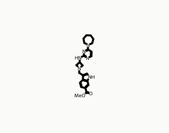 COC(=O)c1ccc2c(CN3CC(Nc4nccc(N5CCCCCC5)n4)C3)c[nH]c2c1